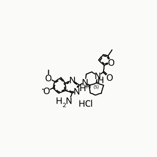 COc1cc2nc(N3CCN(C(=O)c4ccc(C)o4)[C@H]4CCCC[C@H]43)nc(N)c2cc1OC.Cl